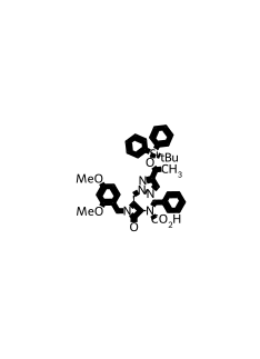 COc1ccc(CN2C(=O)[C@@H](N(Cc3ccccc3)C(=O)O)[C@H]2Cn2ncc(C(C)O[Si](c3ccccc3)(c3ccccc3)C(C)(C)C)n2)c(OC)c1